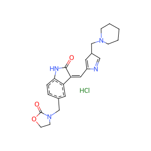 Cl.O=C1Nc2ccc(CN3CCOC3=O)cc2C1=CC1=CC(CN2CCCCC2)C=N1